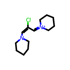 Cl/C(C=[N+]1CCCCC1)=C/N1CCCCC1